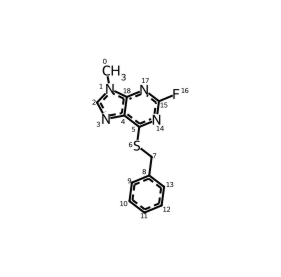 Cn1cnc2c(SCc3ccccc3)nc(F)nc21